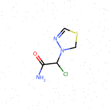 NC(=O)C(Cl)N1CSC=N1